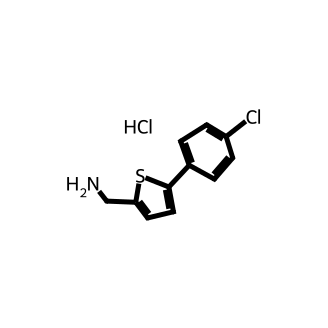 Cl.NCc1ccc(-c2ccc(Cl)cc2)s1